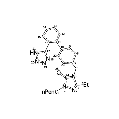 CCCCCn1nc(CC)n(Cc2ccc(-c3ccccc3-c3nnn[nH]3)cc2)c1=O